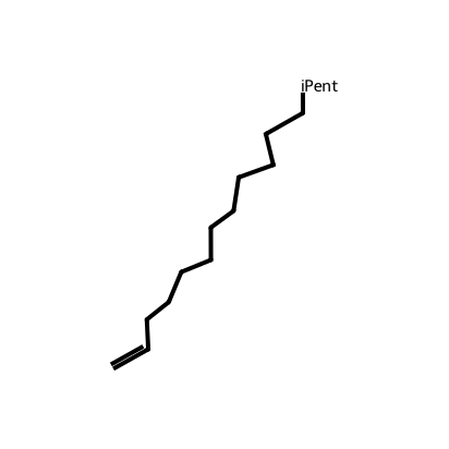 C=CCCCCCCCCCCC(C)CCC